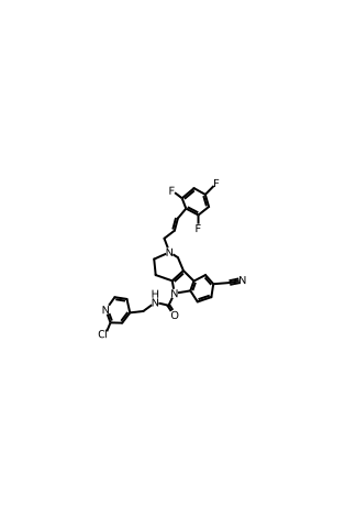 N#Cc1ccc2c(c1)c1c(n2C(=O)NCc2ccnc(Cl)c2)CCN(C/C=C/c2c(F)cc(F)cc2F)C1